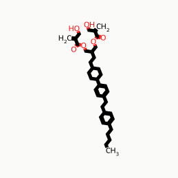 C=C(CO)C(=O)OCC(CCC1CCC(c2ccc(CCc3ccc(CCCCC)cc3)cc2)CC1)COC(=O)C(=C)CO